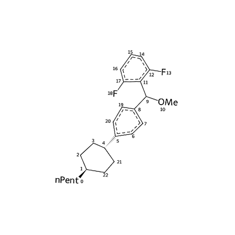 CCCCC[C@H]1CC[C@H](c2ccc(C(OC)c3c(F)cccc3F)cc2)CC1